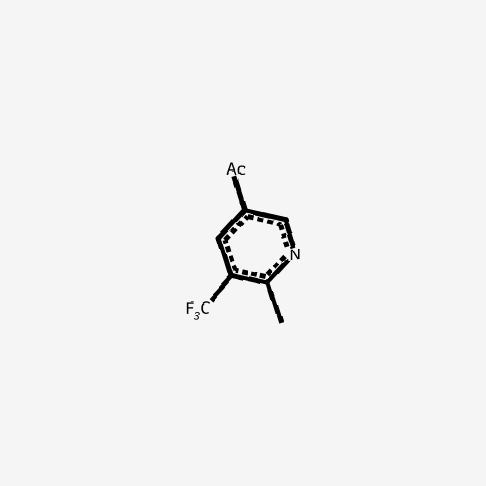 CC(=O)c1cnc(C)c(C(F)(F)F)c1